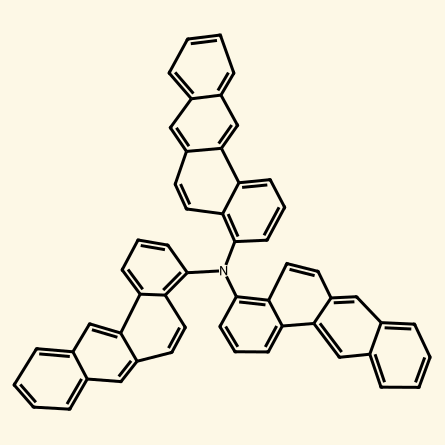 c1ccc2cc3c(ccc4c(N(c5cccc6c5ccc5cc7ccccc7cc56)c5cccc6c5ccc5cc7ccccc7cc56)cccc43)cc2c1